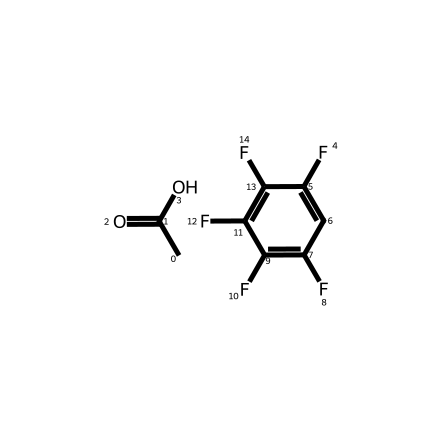 CC(=O)O.Fc1cc(F)c(F)c(F)c1F